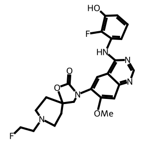 COc1cc2ncnc(Nc3cccc(O)c3F)c2cc1N1CC2(CCN(CCF)CC2)OC1=O